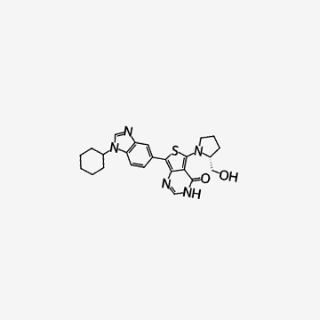 O=c1[nH]cnc2c(-c3ccc4c(c3)ncn4C3CCCCC3)sc(N3CCC[C@@H]3CO)c12